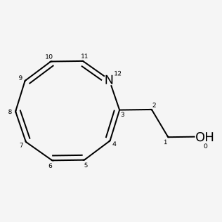 OCCc1ccccccccn1